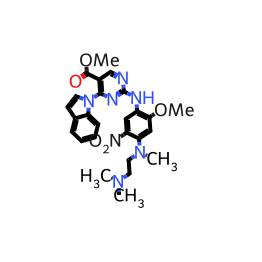 COC(=O)c1cnc(Nc2cc([N+](=O)[O-])c(N(C)CCN(C)C)cc2OC)nc1-n1ccc2ccccc21